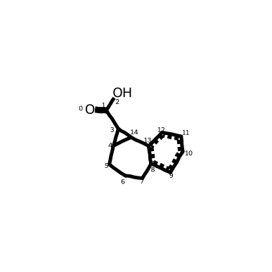 O=C(O)C1C2CCCc3ccccc3C21